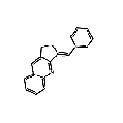 C(=C1/CCc2cc3ccccc3nc21)/c1ccccc1